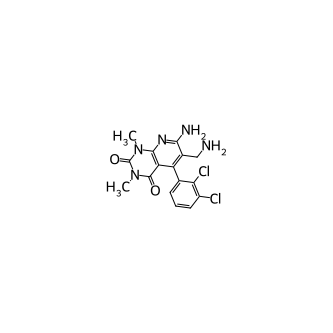 Cn1c(=O)c2c(-c3cccc(Cl)c3Cl)c(CN)c(N)nc2n(C)c1=O